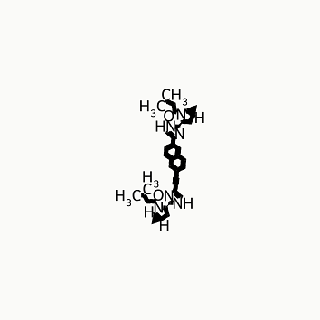 CC(C)CC(=O)N1C2C[C@@H]2C[C@H]1c1nc(-c2ccc3cc(C#Cc4c[nH]c([C@@H]5C[C@@H]6C[C@H]6N5C(=O)CC(C)C)n4)ccc3c2)c[nH]1